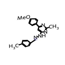 COc1ccc(-c2cc(N/N=C/c3ccc(C)cc3)nc(C)n2)cc1